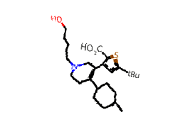 CC1CCC(C2=C(c3cc(C(C)(C)C)sc3C(=O)O)CN(CCCCO)CC2)CC1